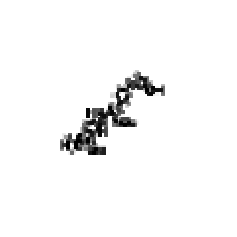 CNc1cc(-c2ccc(CN3CCC(O)C3)cc2)sc1C(=N)Nc1cccc(O[Si](C)(C)C(C)(C)C)c1